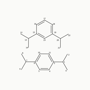 CC(C)c1ccc(C(C)C)cc1.CC(C)c1cccc(C(C)C)c1